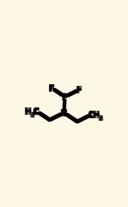 CCN(CC)P(F)F